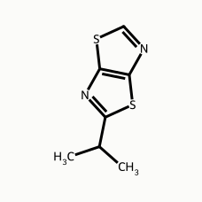 CC(C)c1nc2scnc2s1